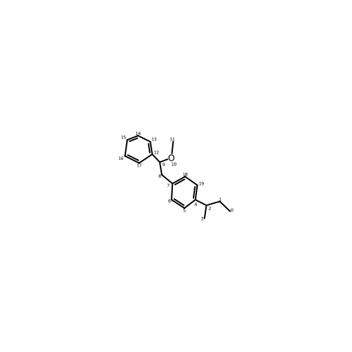 CCC(C)c1ccc(CC(OC)c2ccccc2)cc1